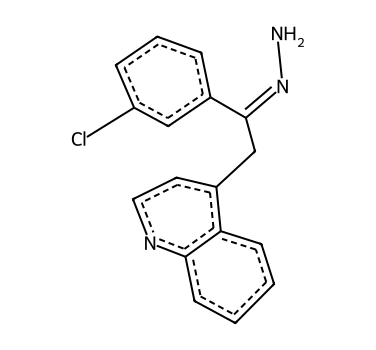 N/N=C(/Cc1ccnc2ccccc12)c1cccc(Cl)c1